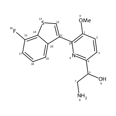 COc1ccc(C(O)CN)nc1-c1csc2c(F)cccc12